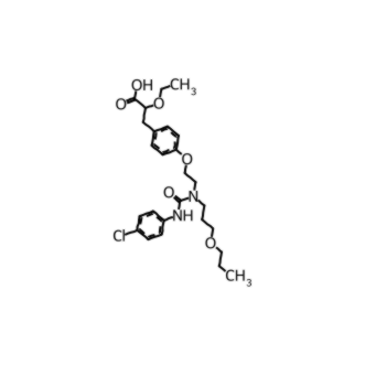 CCCOCCCN(CCOc1ccc(CC(OCC)C(=O)O)cc1)C(=O)Nc1ccc(Cl)cc1